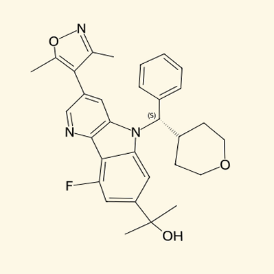 Cc1noc(C)c1-c1cnc2c3c(F)cc(C(C)(C)O)cc3n([C@H](c3ccccc3)C3CCOCC3)c2c1